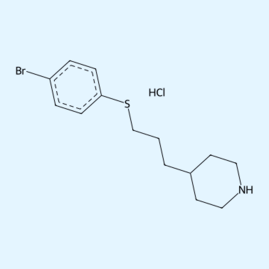 Brc1ccc(SCCCC2CCNCC2)cc1.Cl